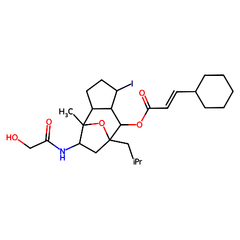 CC(C)CC12CC(NC(=O)CO)C(C)(O1)C1CCC(I)C1C2OC(=O)/C=C/C1CCCCC1